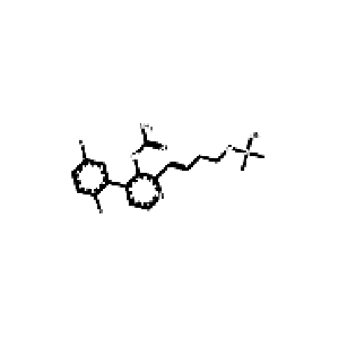 CC(C)(C)[Si](C)(C)OCC/C=C/c1nccc(-c2cc(F)ccc2F)c1OC(N)=O